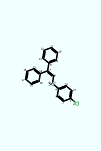 Clc1ccc([Se]C=C(c2ccccc2)c2ccccc2)cc1